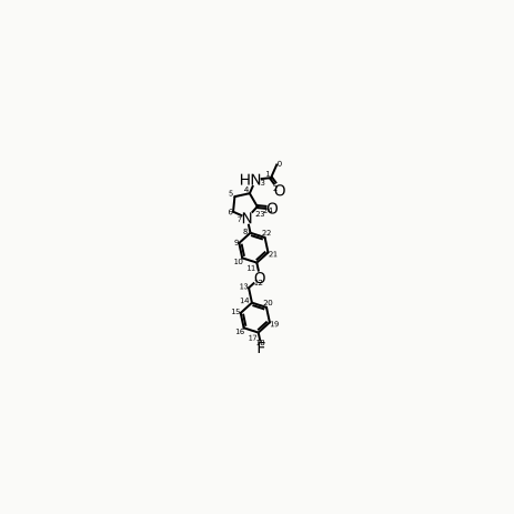 CC(=O)NC1CCN(c2ccc(OCc3ccc(F)cc3)cc2)C1=O